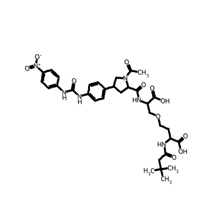 CC(=O)N1CC(c2ccc(NC(=O)Nc3ccc([N+](=O)[O-])cc3)cc2)CC1C(=O)NC(COCCC(NC(=O)CC(C)(C)C)C(=O)O)C(=O)O